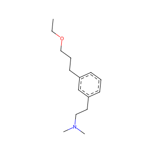 CCOCCCc1cccc(CCN(C)C)c1